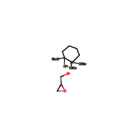 CCCC1(OC)CCCC[Si]1(OC)OC.[O]CC1CO1